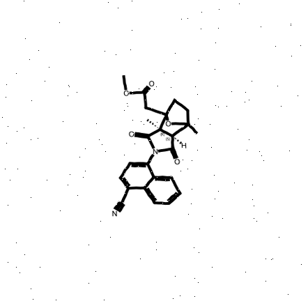 COC(=O)CC12CCC(C)(O1)[C@H]1C(=O)N(c3ccc(C#N)c4ccccc34)C(=O)[C@]12C